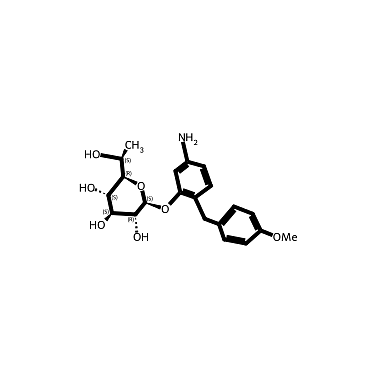 COc1ccc(Cc2ccc(N)cc2O[C@@H]2O[C@H]([C@H](C)O)[C@@H](O)[C@H](O)[C@H]2O)cc1